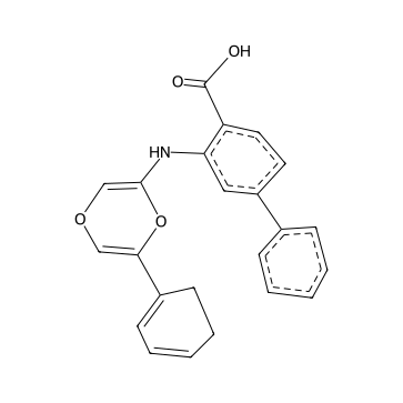 O=C(O)c1ccc(-c2ccccc2)cc1NC1=COC=C(C2=CC=CCC2)O1